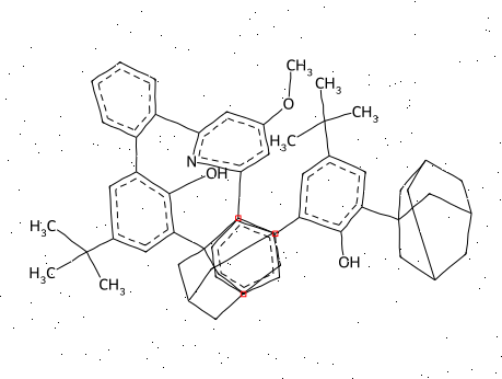 COc1cc(-c2ccccc2-c2cc(C(C)(C)C)cc(C34CC5CC(CC(C5)C3)C4)c2O)nc(-c2ccccc2-c2cc(C(C)(C)C)cc(C34CC5CC(CC(C5)C3)C4)c2O)c1